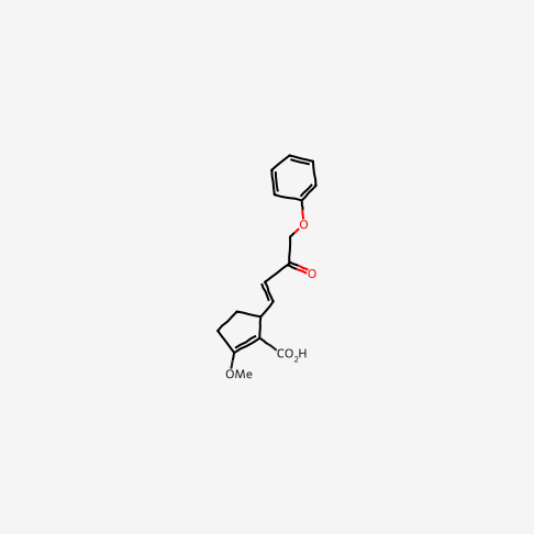 COC1=C(C(=O)O)C(C=CC(=O)COc2ccccc2)CC1